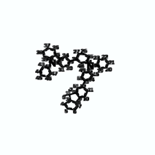 CC1(C)c2ccccc2-c2ccc(-c3ccc(N(c4ccccc4)c4cccc(-c5ccc6c(c5)c5ccccc5n6-c5ccccc5)c4)cc3)cc21